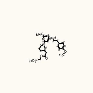 CCOC(=O)COC(=O)CC1CCCN(c2cc(NCCc3ccc(OC(F)(F)F)cc3)nc(OC)n2)C1